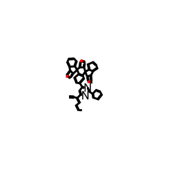 C#C/C(=C\C=C/C)c1cc(-c2ccc3c(c2)C2(c4ccccc4-c4ccccc42)c2ccccc2C32c3ccccc3-c3ccccc32)nc(-c2ccccc2)n1